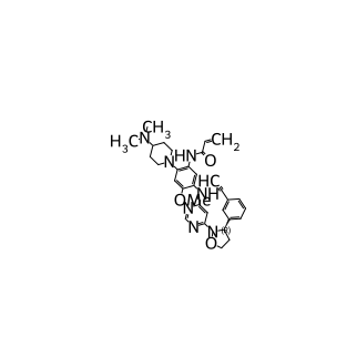 C#Cc1cccc([C@H]2CCON2c2cc(Nc3cc(NC(=O)C=C)c(N4CCC(N(C)C)CC4)cc3OC)ncn2)c1